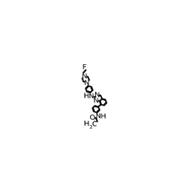 C=CC(=O)Nc1cccc(-c2cccc3cnc(Nc4ccc(N5CCN(CCF)CC5)cc4)nc23)c1